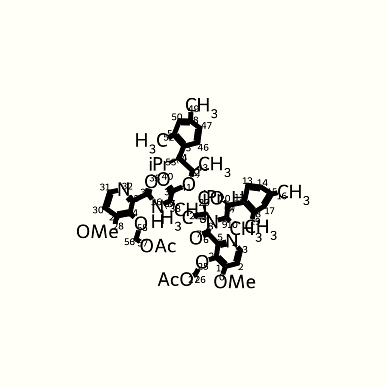 COc1ccnc(C(=O)N(C(C)[C@H](c2ccc(C)cc2C)C(C)C)[C@@H](C)C(=O)O)c1OCOC(C)=O.COc1ccnc(C(=O)N[C@@H](C)C(=O)O[C@@H](C)[C@H](c2ccc(C)cc2C)C(C)C)c1OCOC(C)=O